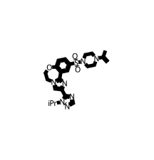 C=C(C)N1CCN(S(=O)(=O)c2ccc3c(c2)-c2nc(-c4ncnn4C(C)C)cn2CCO3)CC1